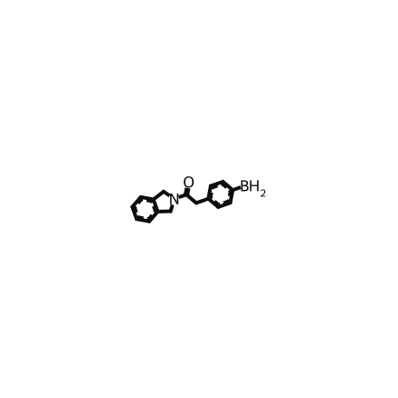 Bc1ccc(CC(=O)N2Cc3ccccc3C2)cc1